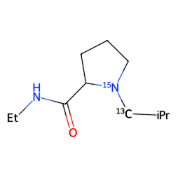 CC(C)[13CH2][15N]1CCCC1C(=O)N[13CH2][13CH3]